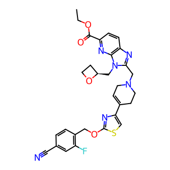 CCOC(=O)c1ccc2nc(CN3CC=C(c4csc(OCc5ccc(C#N)cc5F)n4)CC3)n(C[C@@H]3CCO3)c2n1